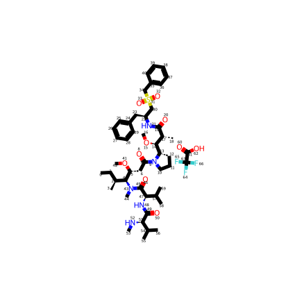 CC[C@H](C)[C@@H]([C@@H](CC(=O)N1CCC[C@H]1[C@H](OC)[C@@H](C)C(=O)N[C@@H](Cc1ccccc1)CS(=O)(=O)Cc1ccccc1)OC)N(C)C(=O)[C@@H](NC(=O)[C@@H](NC)C(C)C)C(C)C.O=C(O)C(F)(F)F